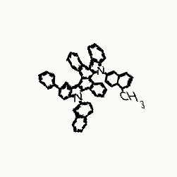 CC1C=CC=C2C=C(n3c4ccccc4c4c5ccccc5c5c(c6ccccc6c6c5c5cc(-c7ccccc7)ccc5n6-c5ccc6ccccc6c5)c43)C=CC21